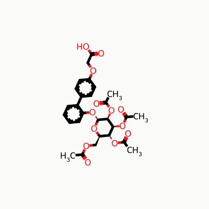 CC(=O)OC[C@H]1O[C@H](Oc2ccccc2-c2ccc(OCC(=O)O)cc2)[C@@H](OC(C)=O)[C@@H](OC(C)=O)[C@@H]1OC(C)=O